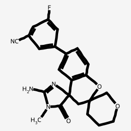 CN1C(=O)C2(CC3(CCCOC3)Oc3ccc(-c4cc(F)cc(C#N)c4)cc32)N=C1N